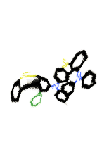 Clc1cc(N(c2ccccc2)c2ccc3sc4cccc(N(c5ccccc5)c5ccccc5)c4c3c2)cc2sc3ccccc3c12